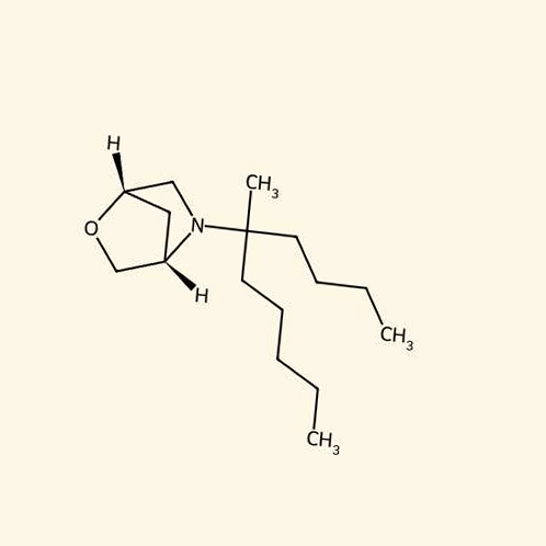 CCCCCC(C)(CCCC)N1C[C@@H]2C[C@H]1CO2